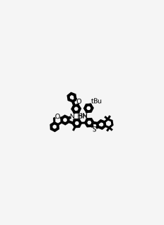 Cc1cc(-c2cc3sc4cc5c(cc4c3cc2Nc2ccc(C(C)(C)C)cc2)C(C)(C)CCC5(C)C)c2c3c1c1cc4c(cc1n3-c1cc3c(cc1B2)oc1ccccc13)OCc1ccccc1-4